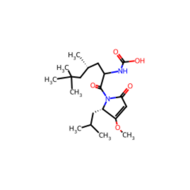 COC1=CC(=O)N(C(=O)C(C[C@@H](C)CC(C)(C)C)NC(=O)O)[C@H]1CC(C)C